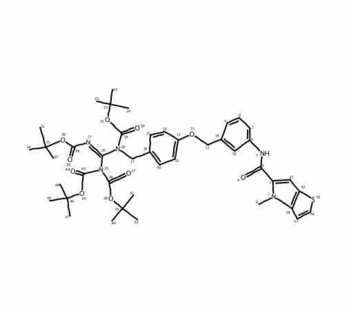 Cn1c(C(=O)Nc2cccc(COc3ccc(CN(C(=O)OC(C)(C)C)/C(=N/C(=O)OC(C)(C)C)N(C(=O)OC(C)(C)C)C(=O)OC(C)(C)C)cc3)c2)cc2sccc21